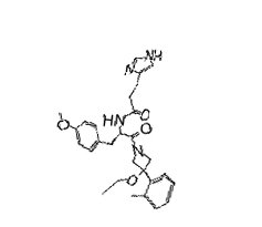 CCOC1(c2ccccc2C)CN(C(=O)[C@@H](Cc2ccc(OC)cc2)NC(=O)CCc2c[nH]cn2)C1